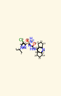 CC(C)n1cc(Cl)c(S(N)(=O)=NC(=O)Nc2c3c(nc4c2CCC4)CCC3)n1